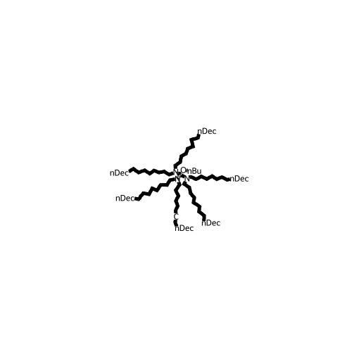 CCCCCCCCCCCCCCCCCC[N](CCCCCCCCCCCCCCCCCC)[Ti]([O]CCCC)([N](CCCCCCCCCCCCCCCCCC)CCCCCCCCCCCCCCCCCC)[N](CCCCCCCCCCCCCCCCCC)CCCCCCCCCCCCCCCCCC